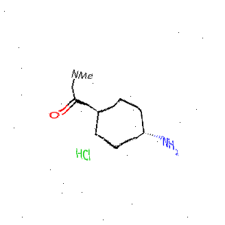 CNC(=O)[C@H]1CC[C@H](N)CC1.Cl